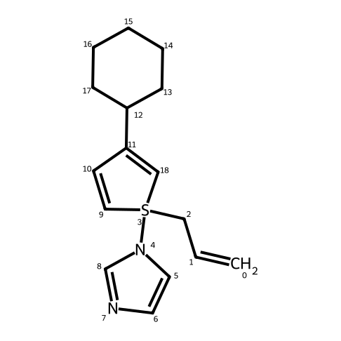 C=CCS1(n2ccnc2)C=CC(C2CCCCC2)=C1